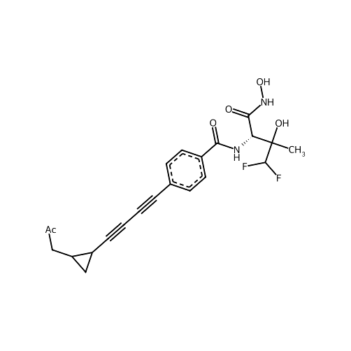 CC(=O)CC1CC1C#CC#Cc1ccc(C(=O)N[C@H](C(=O)NO)C(C)(O)C(F)F)cc1